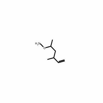 C=CC(C)CC(C)O[SiH3]